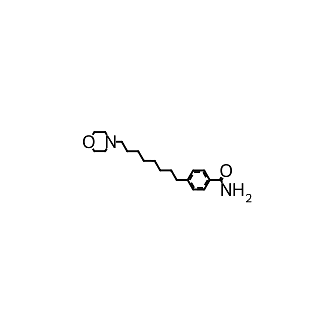 NC(=O)c1ccc(CCCCCCCCN2CCOCC2)cc1